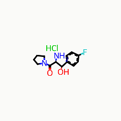 Cl.N[C@H](C(=O)N1CCCC1)[C@H](O)c1ccc(F)cc1